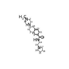 CN1CCN(C2CCc3cc(C(=O)NCCN4CCCC4)ccc3C2)CC1